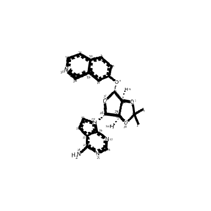 CC1(C)O[C@@H]2[C@@H](Oc3ccc4ccncc4c3)O[C@@H](n3ccc4c(N)ncnc43)[C@@H]2O1